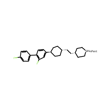 CCCCC[Si@H]1CC[C@H](CC[C@H]2CC[C@H](c3ccc(-c4ccc(F)cc4)c(F)c3)CC2)CC1